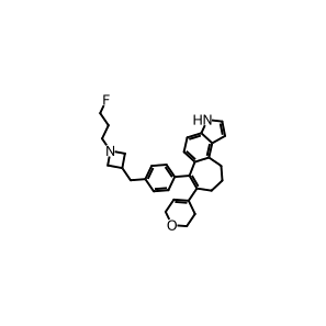 FCCCN1CC(Cc2ccc(C3=C(C4=CCOCC4)CCCc4c3ccc3[nH]ccc43)cc2)C1